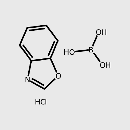 Cl.OB(O)O.c1ccc2ocnc2c1